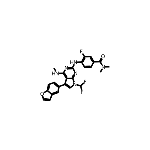 CNc1nc(Nc2ccc(C(=O)N(C)C)cc2F)nc2c1c(-c1ccc3occc3c1)cn2C(F)F